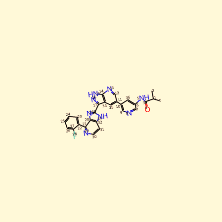 CC(C)C(=O)Nc1cncc(-c2cnc3[nH]nc(-c4nc5c(-c6ccccc6F)nccc5[nH]4)c3c2)c1